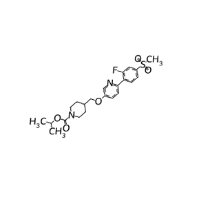 CC(C)OC(=O)N1CCC(COc2ccc(-c3ccc(S(C)(=O)=O)cc3F)nc2)CC1